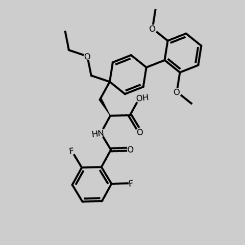 CCOCC1(C[C@H](NC(=O)c2c(F)cccc2F)C(=O)O)C=CC(c2c(OC)cccc2OC)C=C1